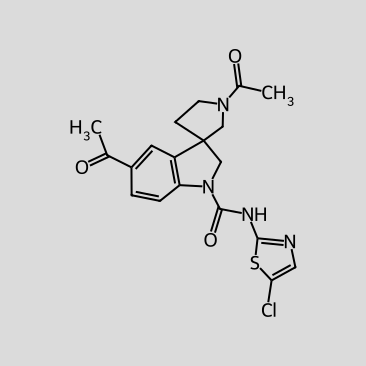 CC(=O)c1ccc2c(c1)C1(CCN(C(C)=O)C1)CN2C(=O)Nc1ncc(Cl)s1